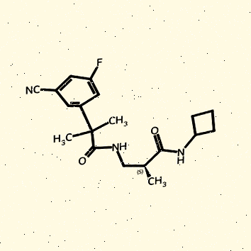 C[C@@H](CNC(=O)C(C)(C)c1cc(F)cc(C#N)c1)C(=O)NC1CCC1